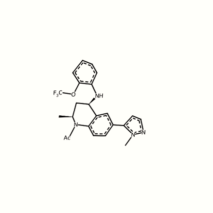 CC(=O)N1c2ccc(-c3ccnn3C)cc2[C@H](Nc2ccccc2OC(F)(F)F)C[C@@H]1C